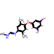 CCCNC=Nc1cc(C)c(Oc2cc(I)cc(I)c2)cc1C